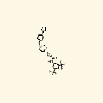 O=C(Nc1cc(C(F)(F)F)cc(C(F)(F)F)c1)N1CC(N2CCN(Cc3ccc(N4CCCC4)cc3)CC2)C1